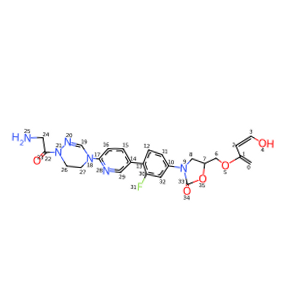 C=C(/C=C\O)OCC1CN(c2ccc(-c3ccc(N4C=NN(C(=O)CN)CC4)nc3)c(F)c2)C(=O)O1